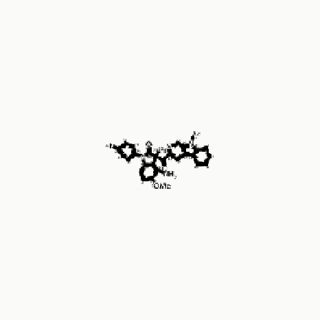 COc1ccc2c(c1N)C(C(=O)c1cc3c4ccccc4n(C(C)=O)c3cn1)(C(C)C)C(=O)N2c1ccc(F)cc1